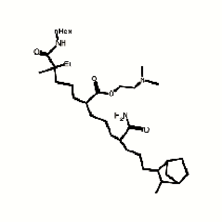 CCCCCCNC(=O)C(C)(CC)CCCC(CCCC(CCCC1C2CCC(C2)C1C)C(N)=O)C(=O)OCCN(C)C